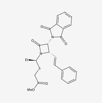 CC[C@H](SCC(=O)OC)N1C(=O)[C@H](N2C(=O)c3ccccc3C2=O)[C@@H]1C=Cc1ccccc1